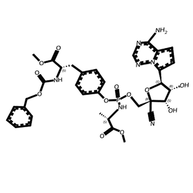 COC(=O)[C@H](C)NP(=O)(OC[C@@]1(C#N)O[C@@H](c2ccc3c(N)ncnn23)[C@H](O)[C@@H]1O)Oc1ccc(C[C@H](NC(=O)OCc2ccccc2)C(=O)OC)cc1